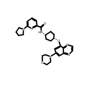 O=C(N[C@H]1CC[C@@H](Oc2cc(N3CCOCC3)cc3nccnc23)CC1)c1cccc(N2CCCC2)n1